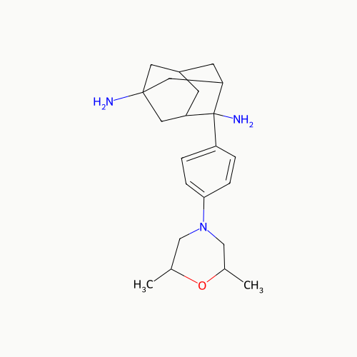 CC1CN(c2ccc(C3(N)C4CC5CC3CC(N)(C5)C4)cc2)CC(C)O1